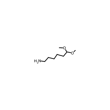 COC(CCCCCN)OC